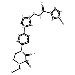 CCN1CCN(c2ccc(-n3cnc(CNC(=O)c4ccc(Cl)s4)c3)cc2)C(=O)C1=O